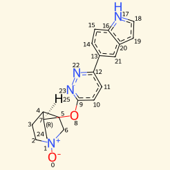 [O-][N+]12CCC(CC1)[C@@H](Oc1ccc(-c3ccc4[nH]ccc4c3)nn1)C2